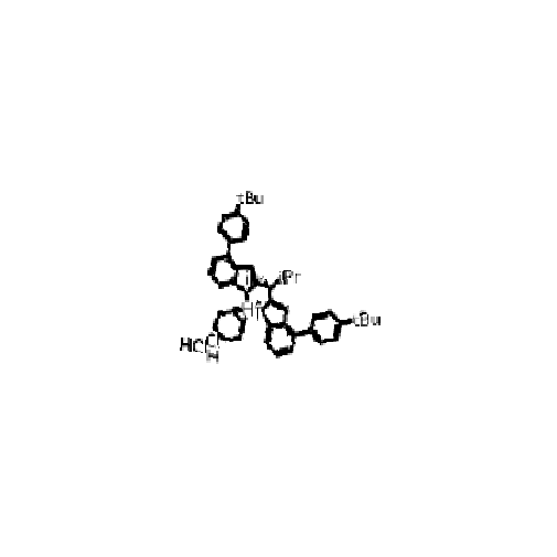 CC(C)CC1=Cc2c(-c3ccc(C(C)(C)C)cc3)cccc2[CH]1[Hf]1([CH]2C(CC(C)C)=Cc3c(-c4ccc(C(C)(C)C)cc4)cccc32)[CH]2CCCC[CH]21.Cl.Cl